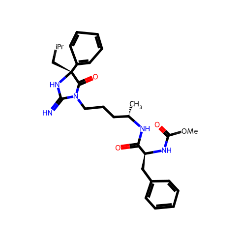 COC(=O)N[C@@H](Cc1ccccc1)C(=O)N[C@@H](C)CCCN1C(=N)N[C@](CC(C)C)(c2ccccc2)C1=O